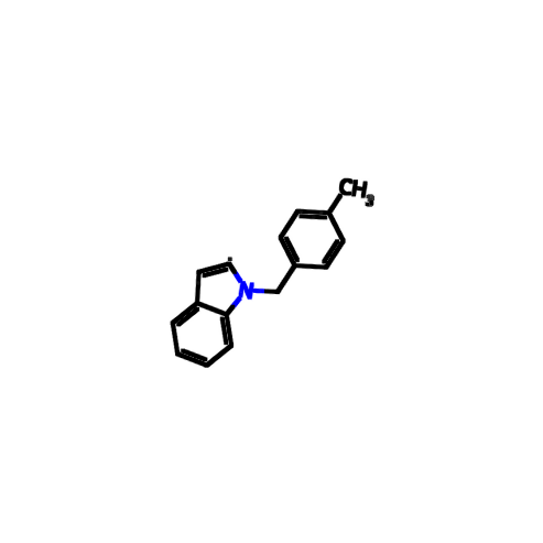 Cc1ccc(Cn2[c]cc3ccccc32)cc1